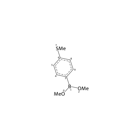 COB(OC)c1ccc(SC)cc1